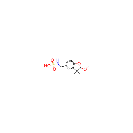 COC1Oc2ccc(CNS(=O)(=O)O)cc2C1(C)C